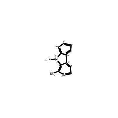 CCc1nccc2c3ccccc3n(F)c12